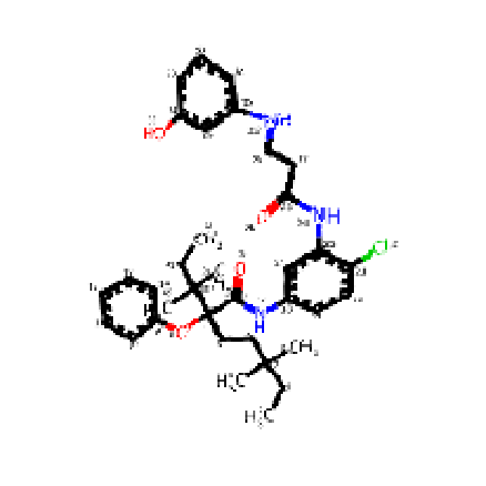 CCC(C)(C)CCC(Oc1ccccc1)(C(=O)Nc1ccc(Cl)c(NC(=O)CCNc2cccc(O)c2)c1)C(C)(C)CC